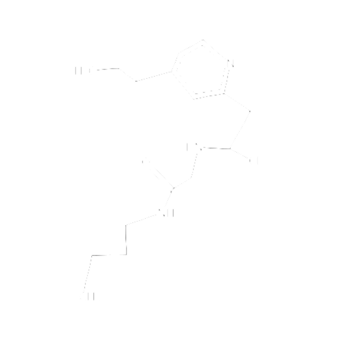 CCCCNC(=O)CNC(C)Cc1cc(CCC)ccn1